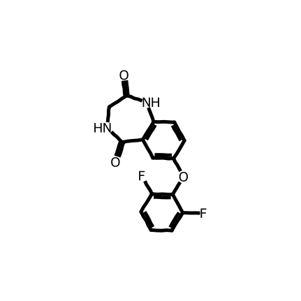 O=C1CNC(=O)c2cc(Oc3c(F)cccc3F)ccc2N1